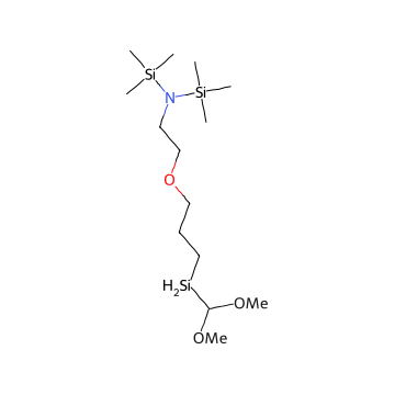 COC(OC)[SiH2]CCCOCCN([Si](C)(C)C)[Si](C)(C)C